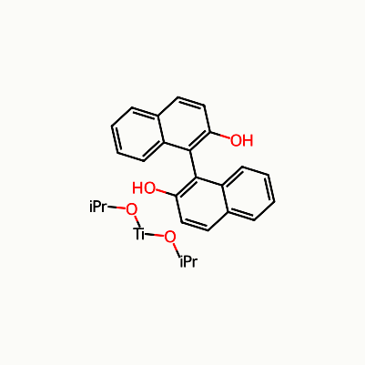 CC(C)[O][Ti][O]C(C)C.Oc1ccc2ccccc2c1-c1c(O)ccc2ccccc12